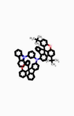 CC(C)(C)c1ccc2c(c1)C1(c3cc(C(C)(C)C)ccc3O2)c2ccccc2-c2c(N(c3cccc(-n4c5ccccc5c5ccccc54)c3)c3ccc4c(c3)C3(c5ccccc5Oc5ccccc53)c3ccccc3-4)cccc21